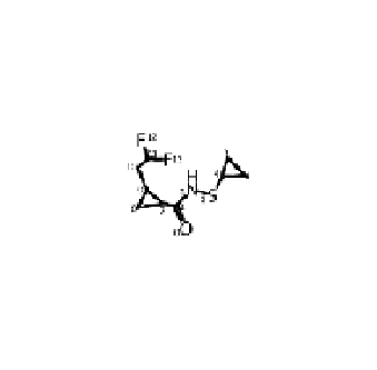 O=C(NSC1CC1)C1CC1CC(F)F